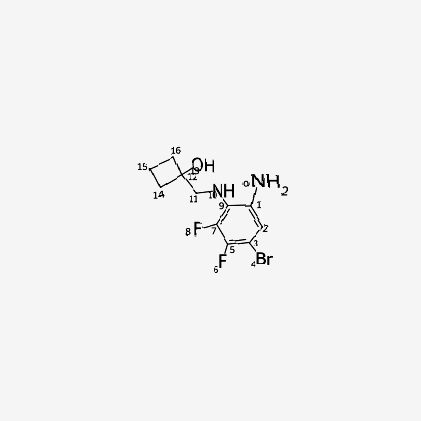 Nc1cc(Br)c(F)c(F)c1NCC1(O)CCC1